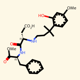 COC(=O)[C@H](Cc1ccccc1)NC(=O)[C@H](CC(=O)O)NCCC(C)(C)c1ccc(OC)cc1O